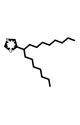 CCCCCCCCC(CCCCCCC)c1cnco1